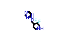 FC1(F)CNCCC1CNc1ccncn1